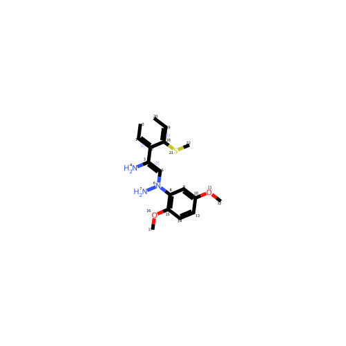 C/C=C(C(/N)=C/N(N)c1cc(OC)ccc1OC)\C(=C/C)SC